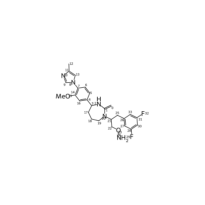 C=C1NC(c2ccc(-n3cnc(C)c3)c(OC)c2)CCCN1C(CON)Cc1cc(F)cc(F)c1